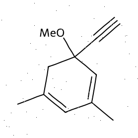 C#CC1(OC)C=C(C)C=C(C)C1